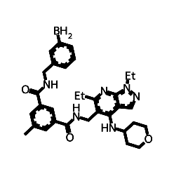 Bc1cccc(CNC(=O)c2cc(C)cc(C(=O)NCc3c(CC)nc4c(cnn4CC)c3NC3CCOCC3)c2)c1